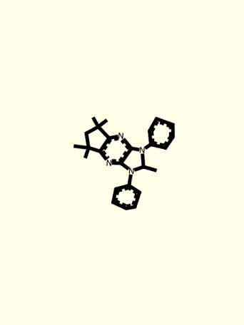 CC1N(c2ccccc2)c2nc3c(nc2N1c1ccccc1)C(C)(C)CC3(C)C